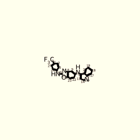 FC(F)(F)c1ccc(Nc2nc3cc(Nc4ccnc5ccccc45)ccc3o2)cc1